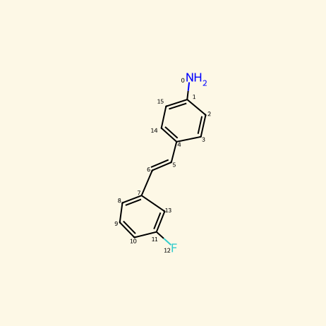 Nc1ccc(C=Cc2cccc(F)c2)cc1